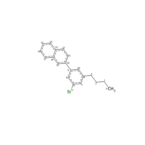 CCCCc1cc(Br)cc(-c2ccc3ccccc3c2)c1